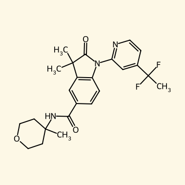 CC1(NC(=O)c2ccc3c(c2)C(C)(C)C(=O)N3c2cc(C(C)(F)F)ccn2)CCOCC1